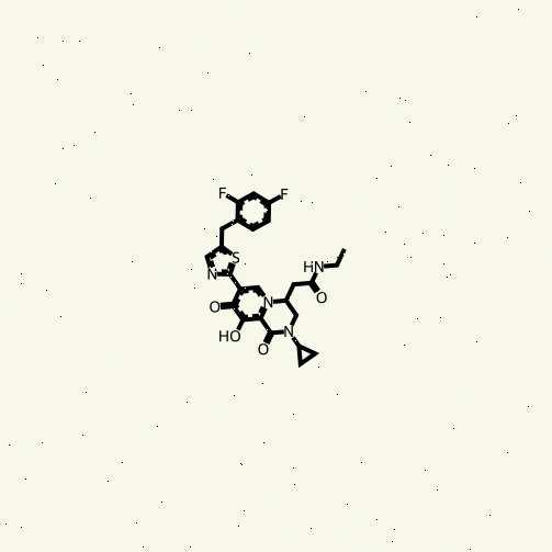 CCNC(=O)CC1CN(C2CC2)C(=O)c2c(O)c(=O)c(-c3ncc(Cc4ccc(F)cc4F)s3)cn21